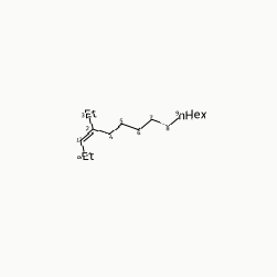 CC/[C]=C(/CC)CCCCCCCCCCC